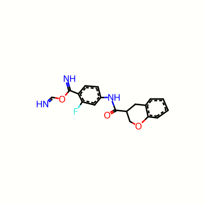 N=COC(=N)c1ccc(NC(=O)C2COc3ccccc3C2)cc1F